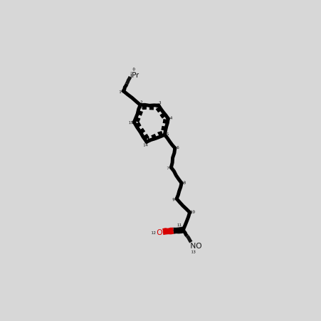 CC(C)Cc1ccc(CCCCCC(=O)N=O)cc1